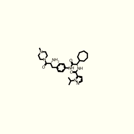 CC(C)n1nccc1C(=O)N[C@H](C(=O)Nc1ccc(C[C@@H](N)C(=O)N2CCN(C)CC2)cc1)C1CCCCCC1